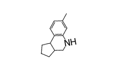 Cc1ccc2c(c1)NCC1CCCC21